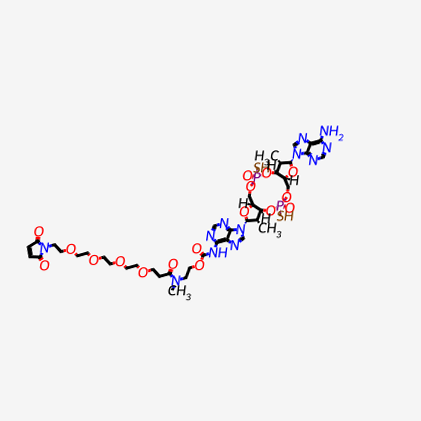 C[C@@H]1[C@@H]2O[P@](=O)(S)OC[C@H]3O[C@@H](n4cnc5c(NC(=O)OCCN(C)C(=O)CCOCCOCCOCCOCCN6C(=O)C=CC6=O)ncnc54)[C@H](C)[C@@H]3O[P@](=O)(S)OC[C@H]2O[C@H]1n1cnc2c(N)ncnc21